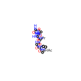 CC(=O)N[C@H]1CCC[C@@H]1C(=O)N[C@H](CC(=O)N[C@H]1CCC[C@@H]1C(=O)NC[C@H](CC(C)C)C(=O)N[C@H]1CNC[C@@H]1C(=O)N[C@H]1CCC[C@@H]1C(=O)N[C@H]1CNC[C@@H]1C(N)=O)Cc1ccc2ccccc2c1